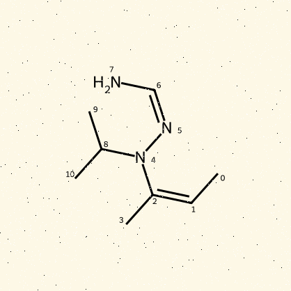 C/C=C(/C)N(/N=C\N)C(C)C